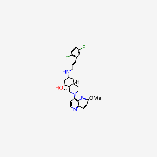 COc1ccc2nccc(N3CC[C@H]4C[C@@H](NC/C=C/c5cc(F)ccc5F)CC[C@]4(CO)C3)c2n1